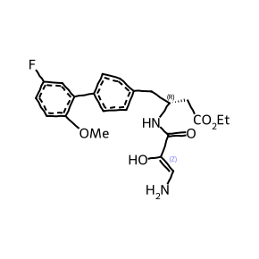 CCOC(=O)C[C@@H](Cc1ccc(-c2cc(F)ccc2OC)cc1)NC(=O)/C(O)=C/N